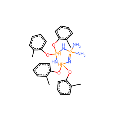 Cc1ccccc1O[PH]1(Oc2ccccc2C)N=P(N)(N)N[PH](Oc2ccccc2C)(Oc2ccccc2C)N1